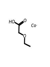 CCOCC(=O)O.[Co]